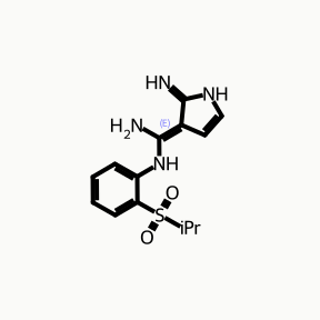 CC(C)S(=O)(=O)c1ccccc1N/C(N)=C1\C=CNC1=N